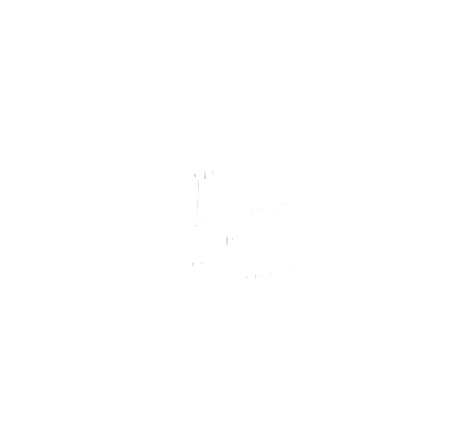 COP1(=O)C=CC=CO1